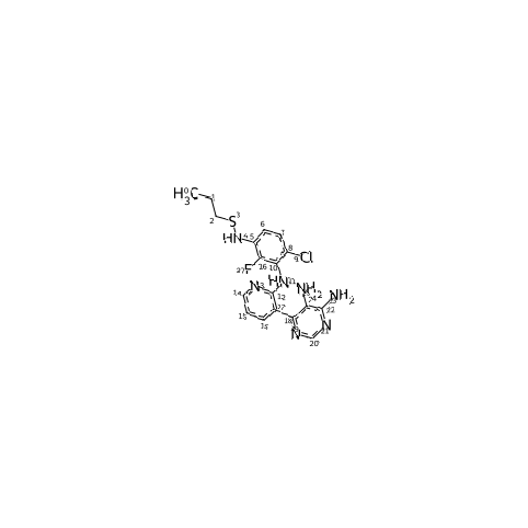 CCCSNc1ccc(Cl)c(Nc2ncccc2-c2ncnc(N)c2N)c1F